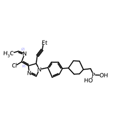 C/C=N\C(Cl)=C1\N=CN(c2ccc(C3CCC(CP(O)O)CC3)cc2)C1C#CCC